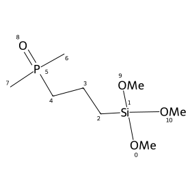 CO[Si](CCCP(C)(C)=O)(OC)OC